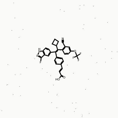 N#Cc1cc(OC(F)(F)F)ccc1C(=C(c1ccc(C=CC(=O)O)cc1)c1ccc2[nH]nc(F)c2c1)C1CCC1